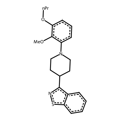 CCCOc1[c]ccc(N2CCC(c3nsc4ccccc34)CC2)c1OC